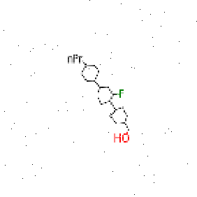 CCCC1CCC(C2CCC(C3CCC(CO)CC3)C(F)C2)CC1